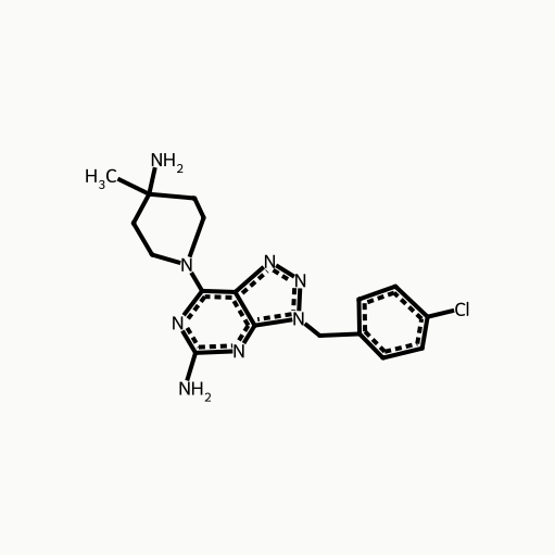 CC1(N)CCN(c2nc(N)nc3c2nnn3Cc2ccc(Cl)cc2)CC1